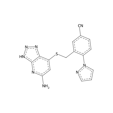 N#Cc1ccc(-n2cccn2)c(CSc2cc(N)nc3[nH]nnc23)c1